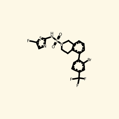 O=S(=O)(Nc1ncc(F)s1)N1CCc2c(cccc2-c2ccc(C(F)(F)F)cc2Br)C1